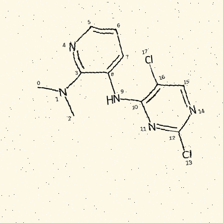 CN(C)c1ncccc1Nc1nc(Cl)ncc1Cl